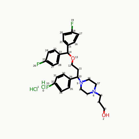 Cl.Cl.OCCCN1CCN(C(CCOC(c2ccc(F)cc2)c2ccc(F)cc2)c2ccc(F)cc2)CC1